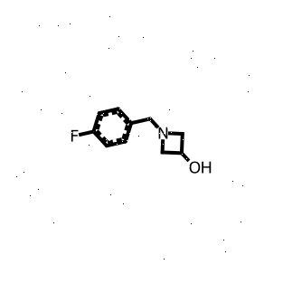 OC1CN(Cc2ccc(F)cc2)C1